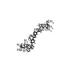 COC(=O)NC(C(=O)N1CCC[C@H]1c1ncc(-c2ccc3c(c2)cc2n3CCOc3cc(-c4cnc([C@@H]5CCCN5C(=O)C(NC(=O)O)C(C)C)[nH]4)ccc3-2)[nH]1)C(C)C